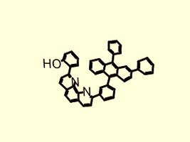 Oc1ccccc1-c1ccc2ccc3ccc(-c4cccc(-c5c6ccccc6c(-c6ccccc6)c6cc(-c7ccccc7)ccc56)c4)nc3c2n1